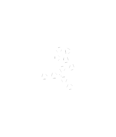 c1ccc(-c2ccc(N(c3ccc(-c4ccccc4)cc3)c3ccc(-c4cc5c(cc4-c4ccccc4)-c4ccccc4C5(c4ccccc4)c4ccccc4)cc3)cc2)cc1